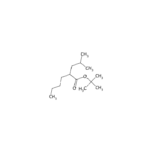 CCCCC(CC(C)C)C(=O)OC(C)(C)C